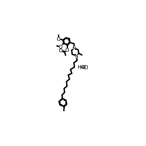 COc1ccc(CN2CCN(CCCCCCCCCCCCc3ccc(C)cc3)C(C)C2)c(OC(C)=O)c1OC.Cl.Cl